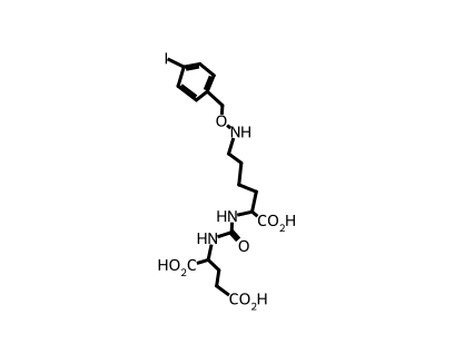 O=C(O)CCC(NC(=O)NC(CCCCNOCc1ccc(I)cc1)C(=O)O)C(=O)O